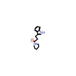 O=C(CCc1c[nH]c2ccccc12)N1CCCCC1